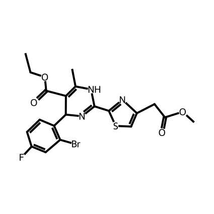 CCOC(=O)C1=C(C)NC(c2nc(CC(=O)OC)cs2)=NC1c1ccc(F)cc1Br